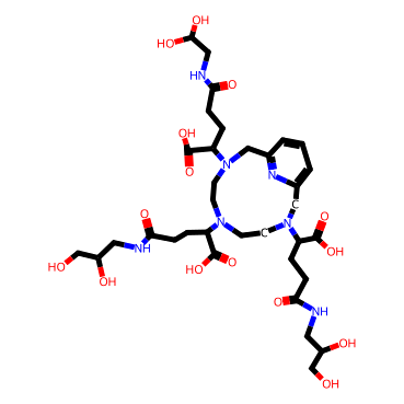 O=C(CCC(C(=O)O)N1CCN(C(CCC(=O)NCC(O)CO)C(=O)O)CCN(C(CCC(=O)NCC(O)CO)C(=O)O)Cc2cccc(n2)C1)NCC(O)O